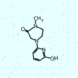 CN1CCN(c2cccc(O)n2)CC1=O